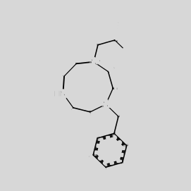 C[C@H](O)CN1CCNCCN(Cc2ccccc2)CC1